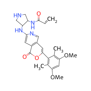 C=CC(=O)NC1CNCC1Nc1cc2c(=O)oc(-c3c(C)c(OC)cc(OC)c3C)cc2cn1